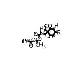 CC(OC(=O)NCC1(CC(=O)O)CCC(F)CC1)OC(=O)C(C)C